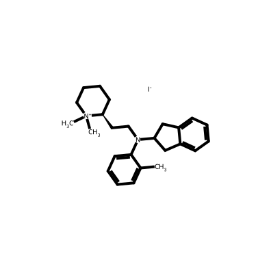 Cc1ccccc1N(CC[C@@H]1CCCC[N+]1(C)C)C1Cc2ccccc2C1.[I-]